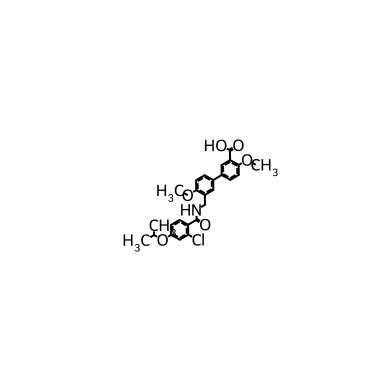 COc1ccc(-c2ccc(OC)c(C(=O)O)c2)cc1CNC(=O)c1ccc(OC(C)C)cc1Cl